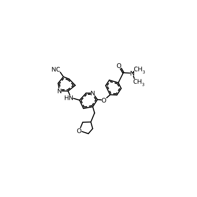 CN(C)C(=O)c1ccc(Oc2ncc(Nc3ccc(C#N)cn3)cc2CC2CCOC2)cc1